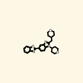 c1ccc2oc(-c3ccc4c(c3)nc(CC3CCOCC3)n4C3CCOCC3)nc2c1